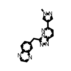 Cn1cc(-c2ccc3nnc(Cc4ccc5nccnc5c4)n3n2)cn1